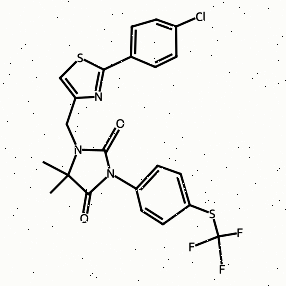 CC1(C)C(=O)N(c2ccc(SC(F)(F)F)cc2)C(=O)N1Cc1csc(-c2ccc(Cl)cc2)n1